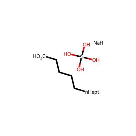 CCCCCCCCCCCC(=O)O.O[Si](O)(O)O.[NaH]